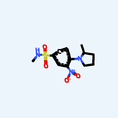 CNS(=O)(=O)c1ccc(N2CCCC2C)c([N+](=O)[O-])c1